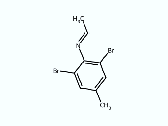 C[C]=Nc1c(Br)cc(C)cc1Br